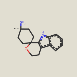 C[C@]1(N)CC[C@]2(CC1)OCCc1c3ccccc3[nH]c12